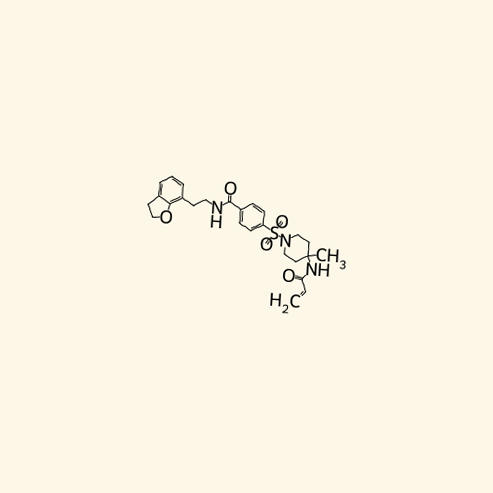 C=CC(=O)NC1(C)CCN(S(=O)(=O)c2ccc(C(=O)NCCc3cccc4c3OCC4)cc2)CC1